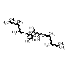 CC(C)=CCCC(C)=CCCC(C)=CCOCC(O)CC(OC(CC(O)COCC=C(C)CCC=C(C)CCC=C(C)C)C(O)CO)C(O)CO